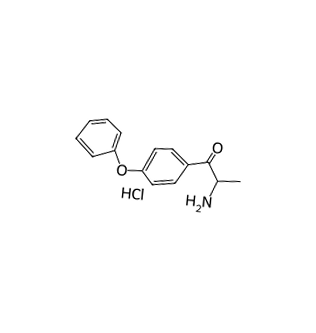 CC(N)C(=O)c1ccc(Oc2ccccc2)cc1.Cl